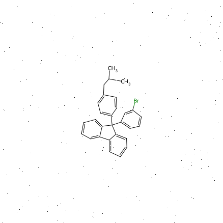 CC(C)Cc1ccc(C2(c3cccc(Br)c3)c3ccccc3-c3ccccc32)cc1